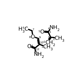 C=C(C)C(N)=O.CCOC=C(C)C(N)=O